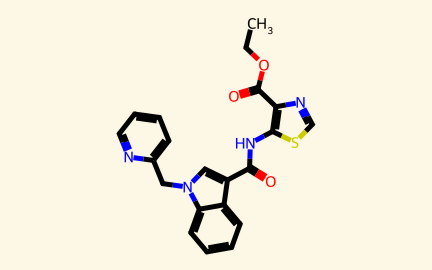 CCOC(=O)c1ncsc1NC(=O)c1cn(Cc2ccccn2)c2ccccc12